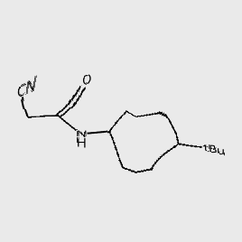 CC(C)(C)C1CCC(NC(=O)CC#N)CC1